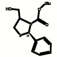 CC(C)(C)OC(=O)N1C(CO)CS[C@@H]1c1ccccc1